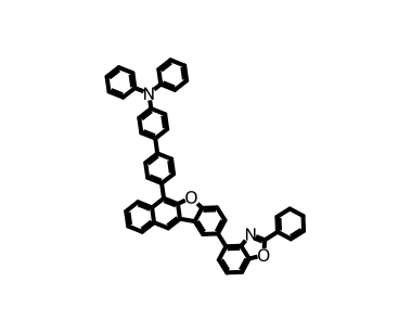 C1=CC(c2nc3c(-c4ccc5oc6c(-c7ccc(-c8ccc(N(c9ccccc9)c9ccccc9)cc8)cc7)c7ccccc7cc6c5c4)cccc3o2)=CCC1